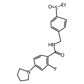 CC[S+]([O-])c1ccc(CNC(=O)c2ccc(N3CCCC3)cc2F)cc1